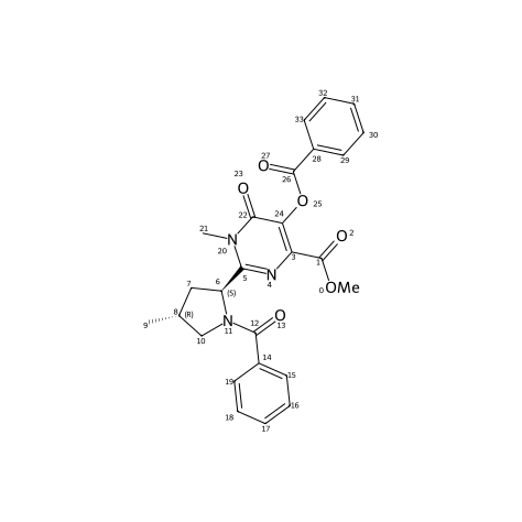 COC(=O)c1nc([C@@H]2C[C@@H](C)CN2C(=O)c2ccccc2)n(C)c(=O)c1OC(=O)c1ccccc1